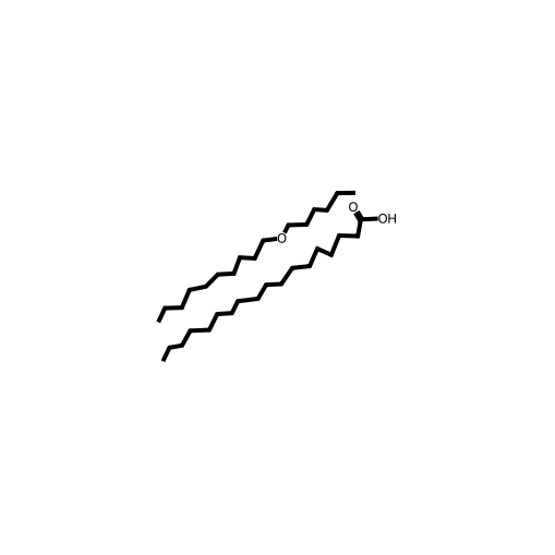 CCCCCCCCCCCCCCCCCC(=O)O.CCCCCCCCCCOCCCCCC